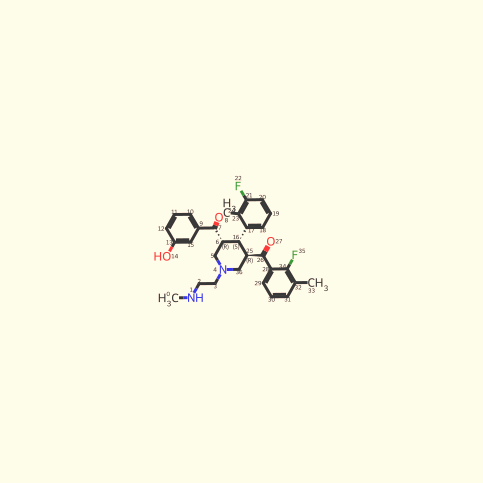 CNCCN1C[C@H](C(=O)c2cccc(O)c2)[C@H](c2cccc(F)c2C)[C@@H](C(=O)c2cccc(C)c2F)C1